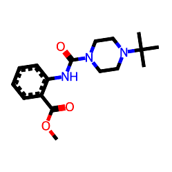 COC(=O)c1ccccc1NC(=O)N1CCN(C(C)(C)C)CC1